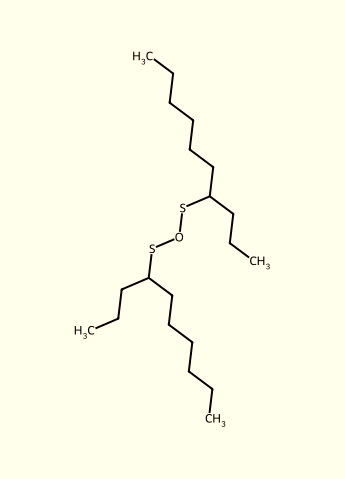 CCCCCCC(CCC)SOSC(CCC)CCCCCC